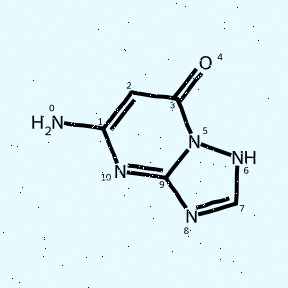 Nc1cc(=O)n2[nH]cnc2n1